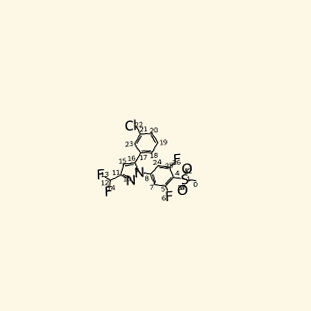 CS(=O)(=O)c1c(F)cc(-n2nc(C(F)F)cc2-c2cccc(Cl)c2)cc1F